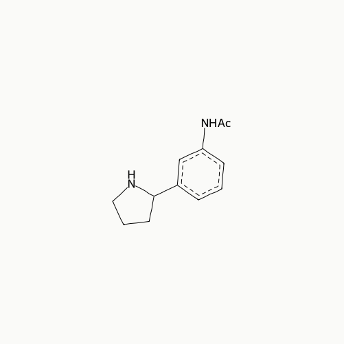 CC(=O)Nc1cccc(C2CCCN2)c1